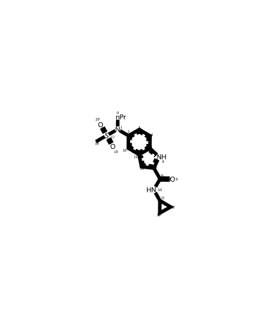 CCCN(c1ccc2[nH]c(C(=O)NC3CC3)cc2c1)S(C)(=O)=O